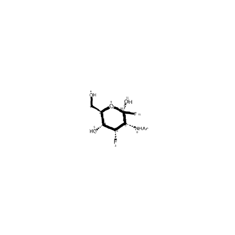 CC(=O)N[C@@H]1[C@H](F)[C@H](O)[C@@H](CO)O[C@@]1(O)F